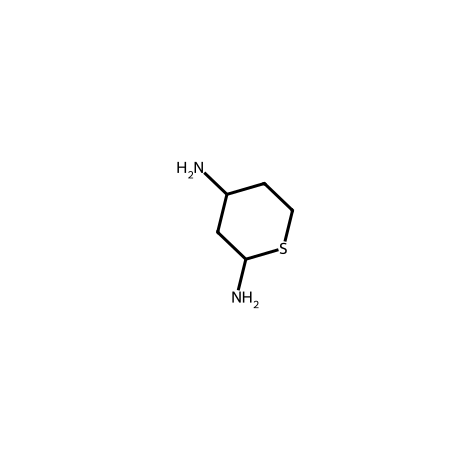 NC1CCSC(N)C1